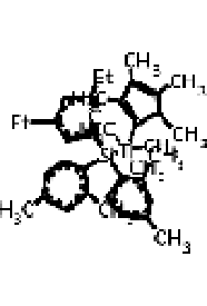 CCc1cc(CC)cc([Si](c2ccc(C)cc2C)(c2ccc(C)cc2C)[Ti]([CH3])([CH3])([CH3])[C]2=C(C)C(C)=C(C)C2C)c1